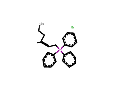 CC(=CC[P+](c1ccccc1)(c1ccccc1)c1ccccc1)CCC(C)(C)C.[Br-]